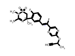 C#CC(C)Oc1cnc(/C(F)=C/c2ccc(F)c([C@]3(C)CS(=O)(=O)N(C)C(N)=N3)c2)cn1